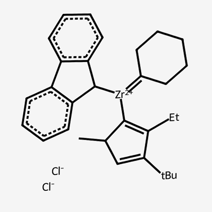 CCC1=[C]([Zr+2](=[C]2CCCCC2)[CH]2c3ccccc3-c3ccccc32)C(C)C=C1C(C)(C)C.[Cl-].[Cl-]